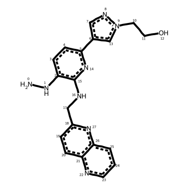 NNc1ccc(-c2cnn(CCO)c2)nc1NCc1ccc2ncccc2n1